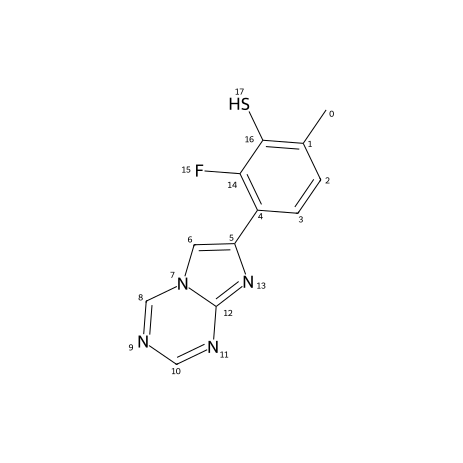 Cc1ccc(-c2cn3cncnc3n2)c(F)c1S